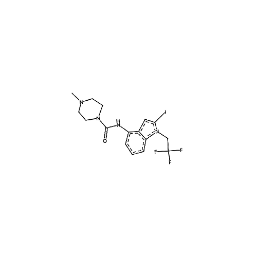 CN1CCN(C(=O)Nc2cccc3c2cc(I)n3CC(F)(F)F)CC1